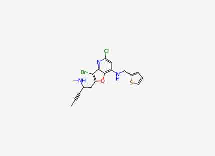 CC#CC(Cc1oc2c(NCc3cccs3)cc(Cl)nc2c1Br)NC